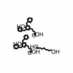 O=C(O)CCCc1cc(Cc2ccccc2)c(O)c(Cc2ccccc2)c1.O=C(O)CCCc1cc(Cc2ccccc2)c(O)c(Cc2ccccc2)c1.OCCCCCCCCO